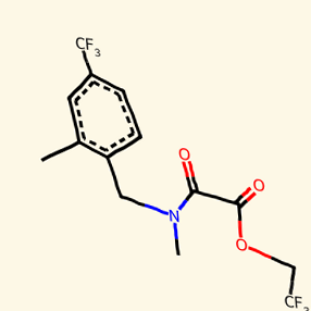 Cc1cc(C(F)(F)F)ccc1CN(C)C(=O)C(=O)OCC(F)(F)F